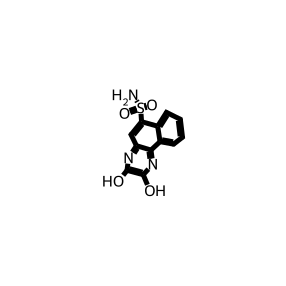 NS(=O)(=O)c1cc2nc(O)c(O)nc2c2ccccc12